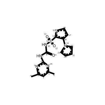 Cc1cc(C)nc(NC(=O)NS(=O)(=O)c2sccc2-n2cccc2)n1